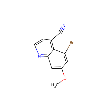 COc1cc(Br)c2c(C#N)ccnc2c1